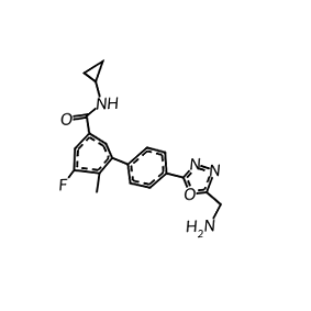 Cc1c(F)cc(C(=O)NC2CC2)cc1-c1ccc(-c2nnc(CN)o2)cc1